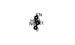 CCN1C=C(c2cccc(F)c2)N(C#N)C(Nc2ccc(C#N)cc2)C1=O